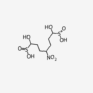 O=[N+]([O-])C(CCC(O)S(=O)O)CCC(O)S(=O)O